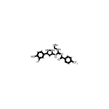 CC(C)(C)CN/C(=N/C(=O)c1ccc(C(F)(F)F)cc1)NC1CC(c2ccc(O)c(F)c2)NN1